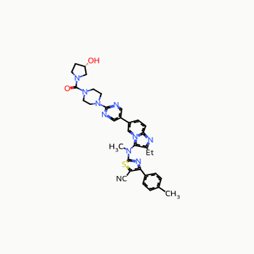 CCc1nc2ccc(-c3cnc(N4CCN(C(=O)N5CC[C@H](O)C5)CC4)nc3)cn2c1N(C)c1nc(-c2ccc(C)cc2)c(C#N)s1